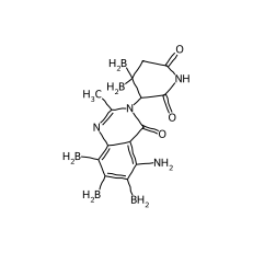 Bc1c(B)c(N)c2c(=O)n(C3C(=O)NC(=O)CC3(B)B)c(C)nc2c1B